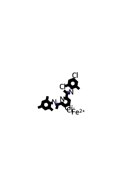 C/C(=N\c1c(C)cc(C)cc1C)c1cccc(/C(C)=N/c2c(C)cc(Cl)cc2Cl)n1.[Cl-].[Cl-].[Fe+2]